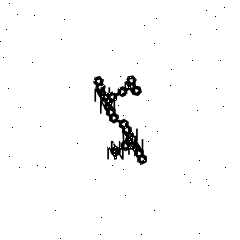 c1ccc2cc3c(cc2c1)nc1n3c2cc(-c3ccc(-n4c5ccccc5c5ccccc54)cc3)cc3c2n1c1nc2cc4ccc(-c5ccc6cc7nc8n(c7cc6c5)c5cc(-c6ncncn6)cc6c5n8c5nc7cc8ccccc8cc7n65)cc4cc2n31